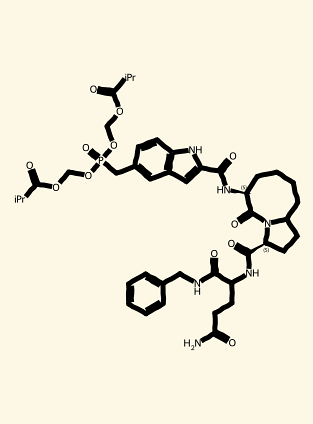 CC(C)C(=O)OCOP(=O)(Cc1ccc2[nH]c(C(=O)N[C@H]3CCCCC4CC[C@@H](C(=O)NC(CCC(N)=O)C(=O)NCc5ccccc5)N4C3=O)cc2c1)OCOC(=O)C(C)C